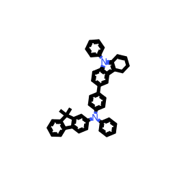 CC1(C)c2ccccc2-c2ccc(N(c3ccccc3)c3ccc(-c4ccc5c(c4)c4c(n5-c5ccccc5)C=CCC4)cc3)cc21